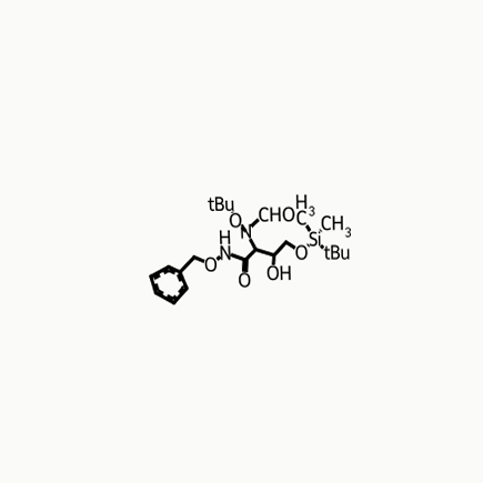 CC(C)(C)ON(C=O)C(C(=O)NOCc1ccccc1)C(O)CO[Si](C)(C)C(C)(C)C